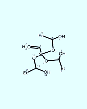 C=C[Si](OC(O)CC)(OC(O)CC)OC(O)CC